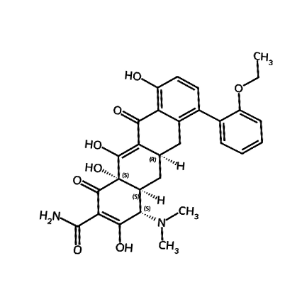 CCOc1ccccc1-c1ccc(O)c2c1C[C@H]1C[C@H]3[C@H](N(C)C)C(O)=C(C(N)=O)C(=O)[C@@]3(O)C(O)=C1C2=O